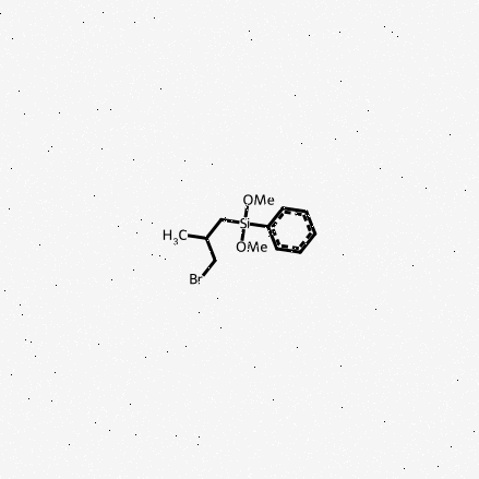 CO[Si](CC(C)CBr)(OC)c1ccccc1